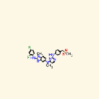 CN(c1ccc2c(c1)nc(Nc1ccc(F)cc1F)n2C)c1ccnc(Nc2ccc(CS(C)(=O)=O)cc2)n1